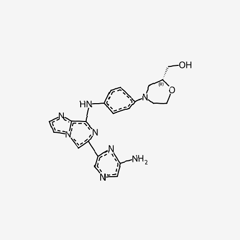 Nc1cncc(-c2cn3ccnc3c(Nc3ccc(N4CCO[C@@H](CO)C4)cc3)n2)n1